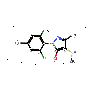 N#Cc1nn(-c2c(Cl)cc(C(F)(F)F)cc2Cl)c(O)c1SC(F)(F)F